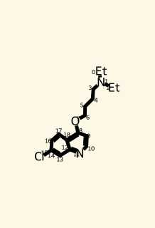 CCN(CC)CCCCOc1ccnc2cc(Cl)ccc12